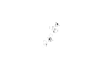 COc1ccc(Cn2nnc3cc(-c4ccnc(Nc5cn(C)nc5C)n4)ccc32)cc1F